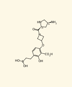 N[C@@H]1CN[C@H](C(=O)N2CC(Oc3ccc(CCB(O)O)c(O)c3C(=O)O)C2)C1